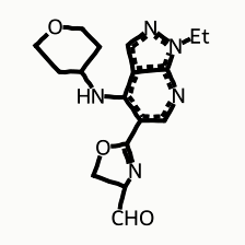 CCn1ncc2c(NC3CCOCC3)c(C3=NC(C=O)CO3)cnc21